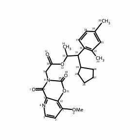 COc1ccnc2c(=O)n(CC(=O)OC(C)C(c3ccc(C)cc3C)C3CCCC3)c(=O)oc12